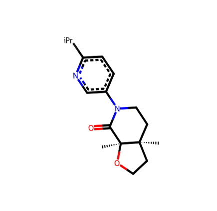 CC(C)c1ccc(N2CC[C@@]3(C)CCO[C@@]3(C)C2=O)cn1